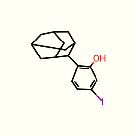 Oc1cc(I)ccc1C1C2CC3CC(C2)CC1C3